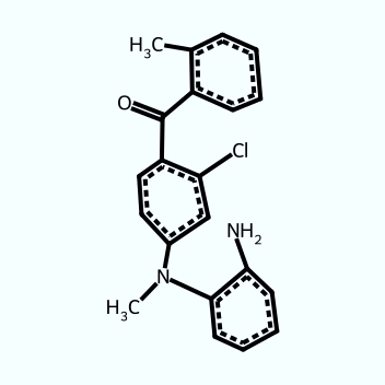 Cc1ccccc1C(=O)c1ccc(N(C)c2ccccc2N)cc1Cl